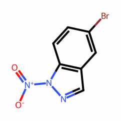 O=[N+]([O-])n1ncc2cc(Br)ccc21